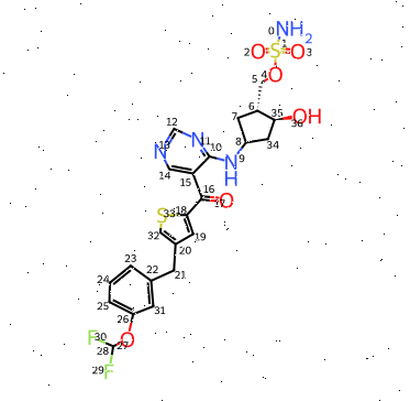 NS(=O)(=O)OC[C@H]1CC(Nc2ncncc2C(=O)c2cc(Cc3cccc(OC(F)F)c3)cs2)C[C@@H]1O